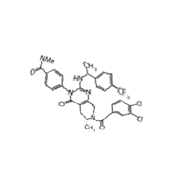 CNC(=O)c1ccc(-n2c(NC(C)c3ccc(C(F)(F)F)cc3)nc3c(c2=O)C[C@@H](C)N(C(=O)c2ccc(Cl)c(Cl)c2)C3)cc1